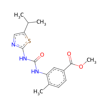 COC(=O)c1ccc(C)c(NC(=O)Nc2ncc(C(C)C)s2)c1